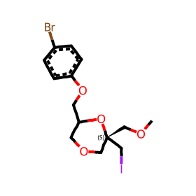 COC[C@@]1(CI)COCC(COc2ccc(Br)cc2)O1